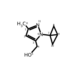 Cc1cc(CO)n(C23CC2C3)n1